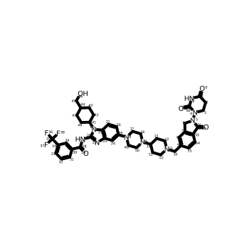 O=C1CCN(N2Cc3cc(CN4CCC(N5CCN(c6ccc7c(c6)nc(NC(=O)c6cccc(C(F)(F)F)c6)n7C6CCC(CO)CC6)CC5)CC4)ccc3C2=O)C(=O)N1